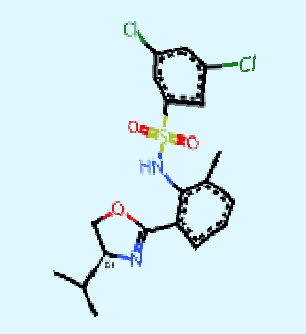 Cc1cccc(C2=N[C@@H](C(C)C)CO2)c1NS(=O)(=O)c1cc(Cl)cc(Cl)c1